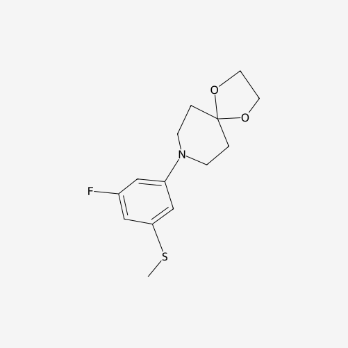 CSc1cc(F)cc(N2CCC3(CC2)OCCO3)c1